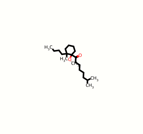 CCCCC1(C)CCCCC1(OC)C(=O)CCCCCC(C)C